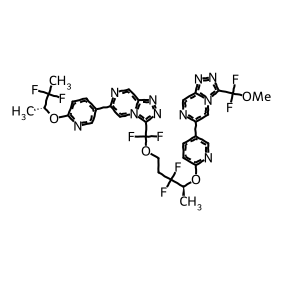 COC(F)(F)c1nnc2cnc(-c3ccc(O[C@@H](C)C(F)(F)CCOC(F)(F)c4nnc5cnc(-c6ccc(O[C@H](C)C(C)(F)F)nc6)cn45)nc3)cn12